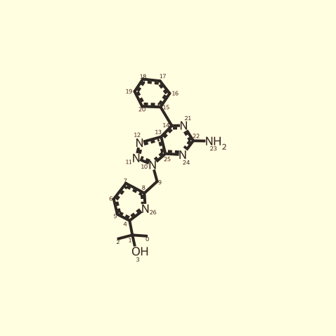 CC(C)(O)c1cccc(Cn2nnc3c(-c4ccccc4)nc(N)nc32)n1